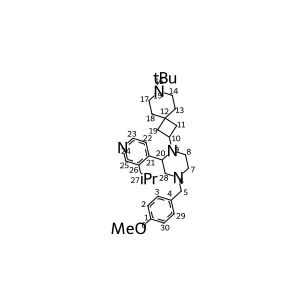 COc1ccc(CN2CCN(C3CC4(CCN(C(C)(C)C)CC4)C3)C(c3ccncc3C(C)C)C2)cc1